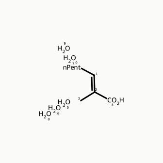 CCCCCC=C(C)C(=O)O.O.O.O.O.O